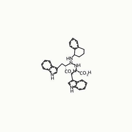 O=C(O)[C@@H](Cc1c[nH]c2ccccc12)NN(NC1CCCc2ccccc21)[C@@H](Cc1c[nH]c2ccccc12)C(=O)O